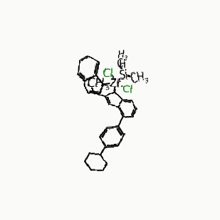 CCC1=Cc2c(-c3ccc(C4CCCCC4)cc3)cccc2[CH]1[Zr]([Cl])([Cl])([CH]1C=Cc2ccccc21)[SiH](C)C